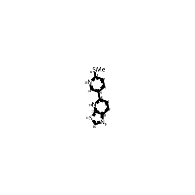 CSc1ccc(-c2ccc3ncsc3n2)cn1